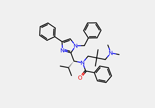 CC(C)[C@H](c1nc(-c2ccccc2)cn1Cc1ccccc1)N(CC(C)(C)CN(C)C)C(=O)c1ccccc1